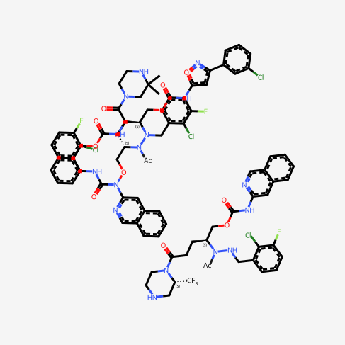 CC(=O)N(NCc1cccc(F)c1Cl)[C@@H](CCC(=O)N1CCNC[C@H]1C(F)(F)F)COC(=O)Nc1cc2ccccc2cn1.CC(=O)N([C@@H](CCC(=O)N1CCNC(C)(C)C1)CON(C(=O)NCc1cccc(F)c1Cl)c1cc2ccccc2cn1)N(Cc1cccc(F)c1Cl)[C@@H](CNC(=O)OCc1ccccc1)COC(=O)Nc1cc(-c2cccc(Cl)c2)no1